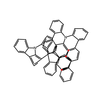 c1ccc(-c2ccc(-c3ccccc3N(c3ccc4c(c3)C3(c5ccccc5-4)c4ccccc4-n4c5ccccc5c5cccc3c54)c3ccccc3-c3cccc(-c4ccccc4)c3)cc2)cc1